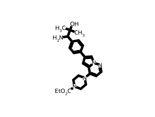 CCOC(=O)N1CCN(c2ccnn3cc(-c4ccc(C(N)C(C)(C)O)cc4)cc23)CC1